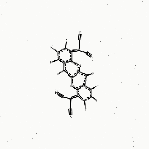 N#CC(C#N)=c1c(F)c(F)c(F)c2c(F)c3nc4c(=C(C#N)C#N)c(F)c(F)c(F)c4c(F)c3nc12